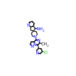 Cc1nc(N2CCC3(CC2)Cc2ncccc2[C@H]3N)c2ccnn2c1-c1cncc(Cl)c1